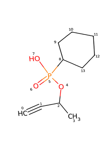 C#CC(C)OP(=O)(O)C1CCCCC1